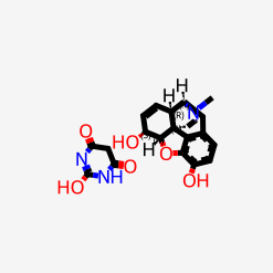 CN1CC[C@]23c4c5ccc(O)c4O[C@H]2[C@@H](O)C=C[C@H]3[C@H]1C5.O=C1CC(=O)NC(O)=N1